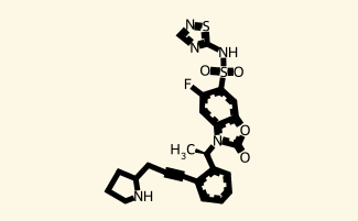 C[C@H](c1ccccc1C#CCC1CCCN1)n1c(=O)oc2cc(S(=O)(=O)Nc3ncns3)c(F)cc21